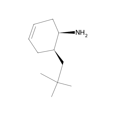 CC(C)(C)C[C@H]1CC=CC[C@H]1N